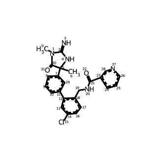 CN1C(=N)NC(C)(c2cccc(-c3cc(Cl)ccc3CNC(=O)c3cccnc3)c2)C1=O